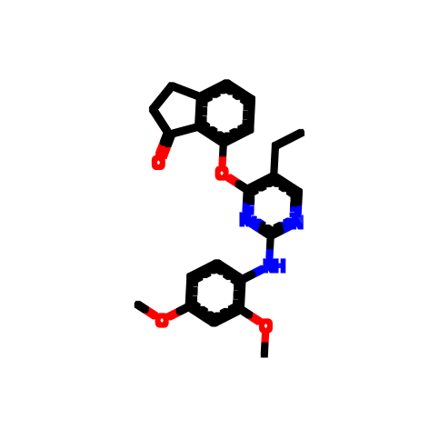 CCc1cnc(Nc2ccc(OC)cc2OC)nc1Oc1cccc2c1C(=O)CC2